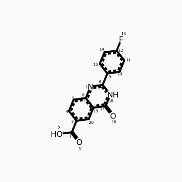 O=C(O)c1ccc2nc(-c3ccc(F)cc3)[nH]c(=O)c2c1